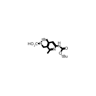 Cc1cc(NC(=O)OC(C)(C)C)nc(C)c1CN(C(=O)O)C(C)(C)C